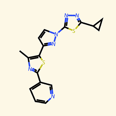 Cc1nc(-c2cccnc2)sc1-c1ccn(-c2nnc(C3CC3)s2)n1